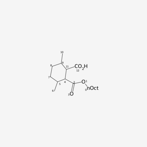 CCCCCCCCOC(=O)C1C(C)CCC(C)C1C(=O)O